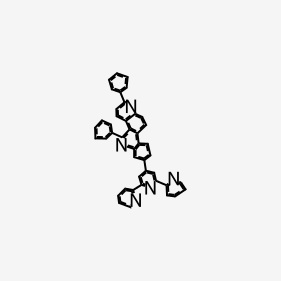 c1ccc(-c2ccc3c(ccc4c5ccc(-c6cc(-c7ccccn7)nc(-c7ccccn7)c6)cc5nc(-c5ccccc5)c34)n2)cc1